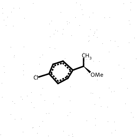 CO[C@H](C)c1ccc(Cl)cc1